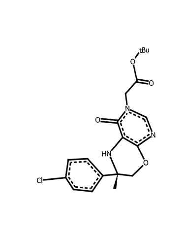 CC(C)(C)OC(=O)Cn1cnc2c(c1=O)N[C@@](C)(c1ccc(Cl)cc1)CO2